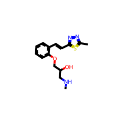 CNCC(O)COc1ccccc1/C=C/c1nnc(C)s1